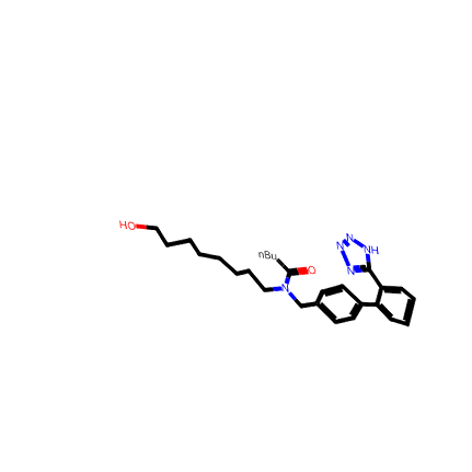 CCCCC(=O)N(CCCCCCCCO)Cc1ccc(-c2ccccc2-c2nnn[nH]2)cc1